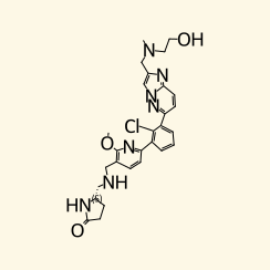 COc1nc(-c2cccc(-c3ccc4nc(CN(C)CCO)cn4n3)c2Cl)ccc1CNC[C@@H]1CCC(=O)N1